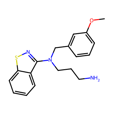 COc1cccc(CN(CCCN)c2nsc3ccccc23)c1